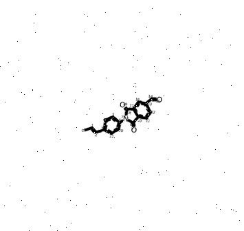 CC=Cc1ccc(N2C(=O)c3ccc(C=O)cc3C2=O)cc1